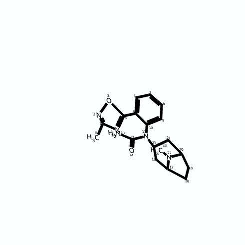 Cc1noc(-c2ccccc2N(C(N)=O)C2CC3CCC(C2)N3C)n1